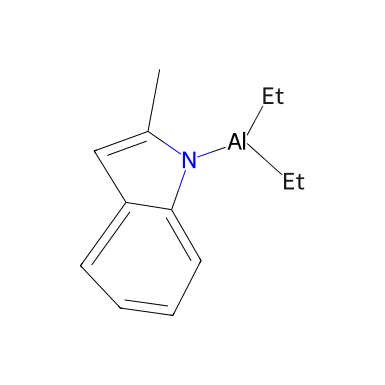 C[CH2][Al]([CH2]C)[n]1c(C)cc2ccccc21